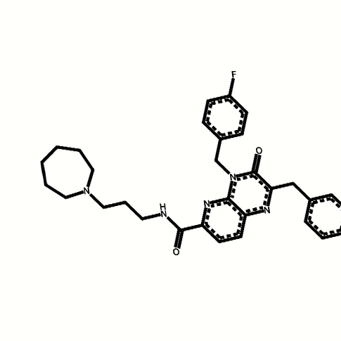 O=C(NCCCN1CCCCCC1)c1ccc2nc(Cc3ccccc3)c(=O)n(Cc3ccc(F)cc3)c2n1